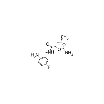 C=CC[C@H](OC(N)=O)C(=O)NCc1cc(F)ccc1N